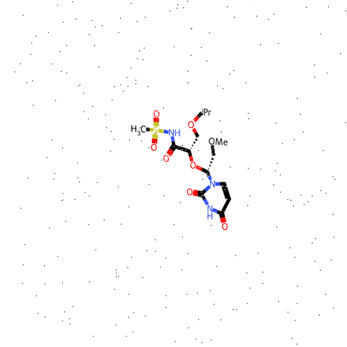 COC[C@@H](O[C@@H](COC(C)C)C(=O)NS(C)(=O)=O)n1ccc(=O)[nH]c1=O